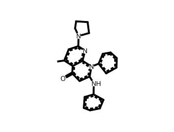 Cc1cc(N2CCCC2)nc2c1c(=O)cc(Nc1ccccc1)n2-c1ccccc1